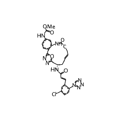 COC(=O)Nc1ccc2c(c1)NC(=O)CC/C=C/C[C@H](NC(=O)/C=C/c1cc(Cl)ccc1-n1cnnn1)c1nnc-2o1